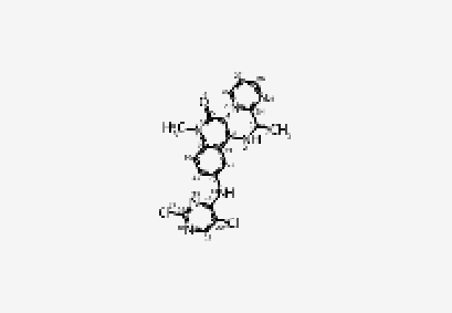 CC(Nc1cc(=O)n(C)c2ccc(Nc3nc(Cl)ncc3Cl)cc12)c1ncccn1